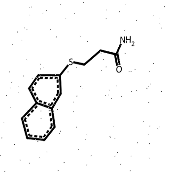 NC(=O)CCSc1ccc2ccccc2c1